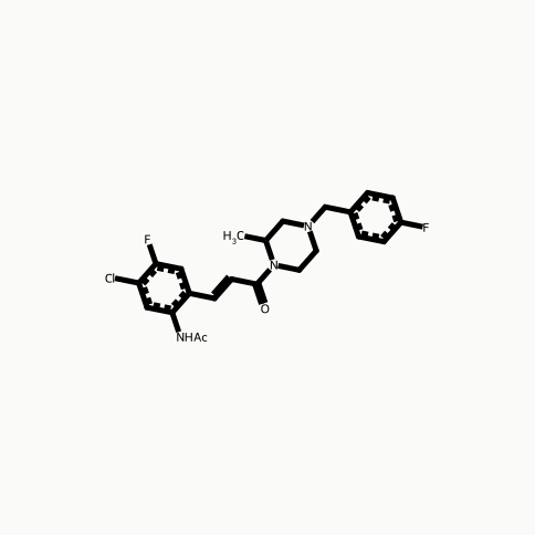 CC(=O)Nc1cc(Cl)c(F)cc1C=CC(=O)N1CCN(Cc2ccc(F)cc2)CC1C